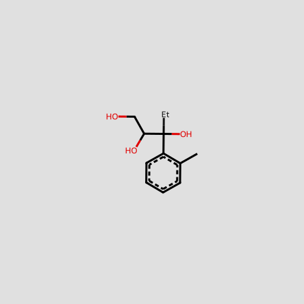 CCC(O)(c1ccccc1C)C(O)CO